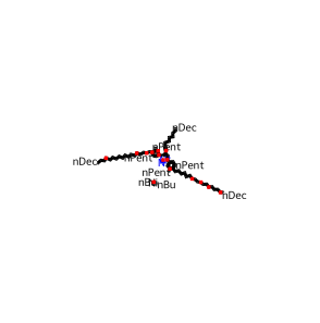 CCCCCCCCCCCCCCCCC#CC1=C(c2cc(CCCCC)c(CCCCCCCCCCCCCCCCCCCCCCCCCCCC)c(CCCCC)c2)[N+](=[N-])C(c2cc(CCCCC)c(CCCCCCCCCCCCCCCCCCCCCCCCCCCC)c(CCCCC)c2)=C1.CCC[CH2][Ni][CH2]CCC